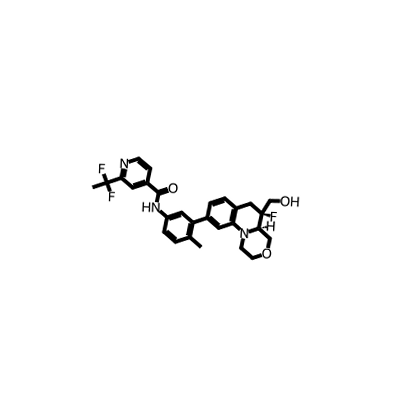 Cc1ccc(NC(=O)c2ccnc(C(C)(F)F)c2)cc1-c1ccc2c(c1)N1CCOC[C@@H]1[C@@](F)(CO)C2